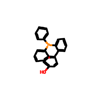 Oc1ccc(-c2ccccc2P(c2ccccc2)c2ccccc2)cc1